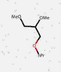 [CH2]CCOCC(COC)OC